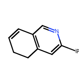 CC(C)c1cc2c(cn1)C=CCC2